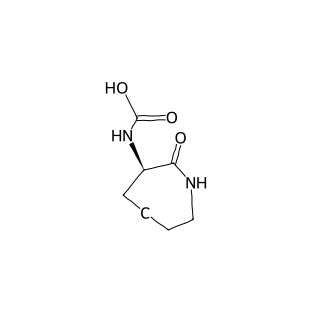 O=C(O)N[C@@H]1CCCCNC1=O